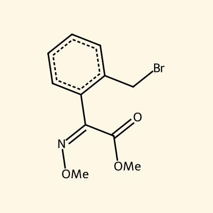 CO/N=C(\C(=O)OC)c1ccccc1CBr